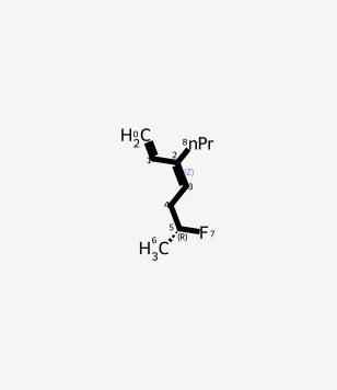 C=C/C(=C\C[C@@H](C)F)CCC